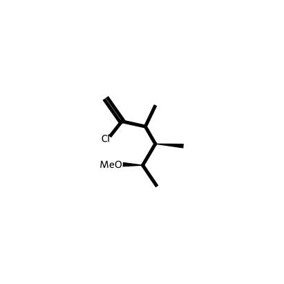 C=C(Cl)C(C)[C@@H](C)[C@@H](C)OC